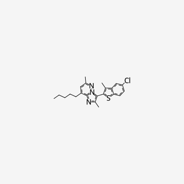 CCCCCc1cc(C)nn2c(-c3sc4ccc(Cl)cc4c3C)c(C)nc12